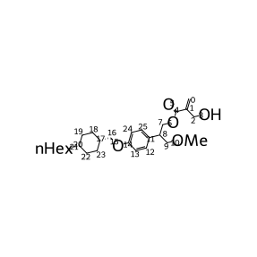 C=C(CO)C(=O)OCC(COC)c1ccc(OC[C@H]2CC[C@@H](CCCCCC)CC2)cc1